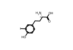 N[C@@H](CCc1ccc(O)c(I)c1)C(=O)O